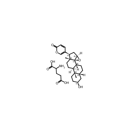 C[C@]12CC[C@H](O)C[C@H]1CC[C@@H]1[C@@H]2CC[C@]2(C)[C@@H](c3ccc(=O)oc3)C[C@H]3O[C@]132.NC(CCC(=O)O)C(=O)O